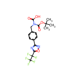 CC(C)(C)OC(=O)N(Cc1ccc(-c2noc(C(F)(F)C(F)(F)F)n2)cc1)C(=O)O